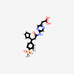 CCS(=O)(=O)c1ccc(C(CC(=O)Nc2cnc(CC(O)O)cn2)C2CCCC2)cc1Cl